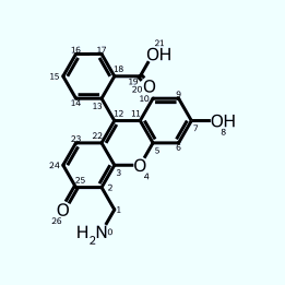 NCc1c2oc3cc(O)ccc3c(-c3ccccc3C(=O)O)c-2ccc1=O